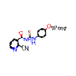 CCCCCOc1ccc(NC(=S)NC(=O)c2cccnc2C#N)cc1